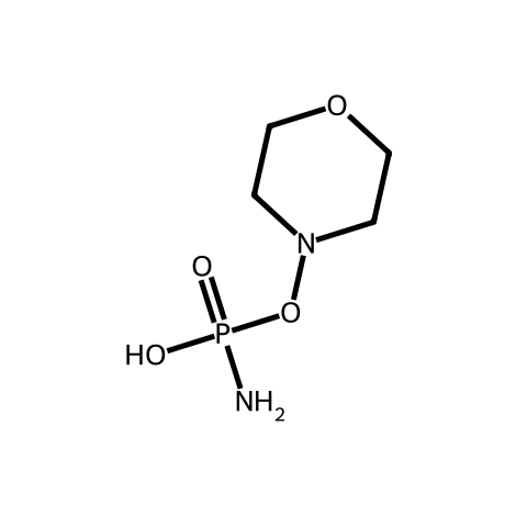 NP(=O)(O)ON1CCOCC1